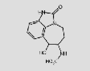 O=C(O)NC1CCn2c(=O)[nH]c3cccc(c32)C1O